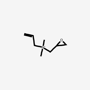 C=CC[N+](C)(C)CC1CO1